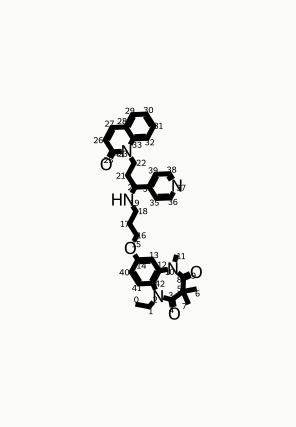 CCN1C(=O)C(C)(C)C(=O)N(C)c2cc(OCCCNC(CCn3c(=O)ccc4ccccc43)c3ccncc3)ccc21